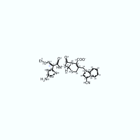 CCO/N=C(/C(=O)N[C@@H]1C(=O)N2C(C(=O)[O-])=C(Cn3cc(C#N)[n+]4ccccc34)CS[C@H]12)c1nsc(N)n1